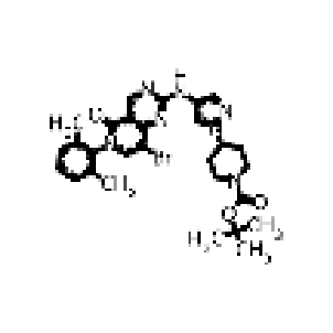 Cc1cccc(C)c1-n1cc(Br)c2nc(Nc3cnn(C4CCN(C(=O)OC(C)(C)C)CC4)c3)ncc2c1=O